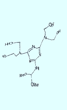 COC(Nc1nc(N(CO)CO)nc(N(CO)CO)n1)OC